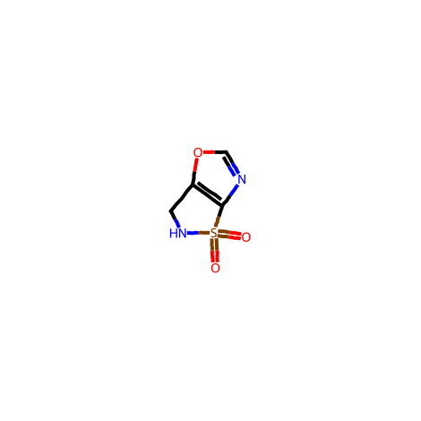 O=S1(=O)NCc2ocnc21